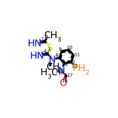 CC(=N)SC(=N)N(C)c1cccc(P)c1N(C)C=O